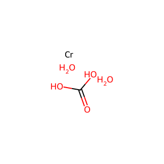 O.O.O=C(O)O.[Cr]